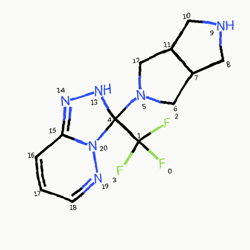 FC(F)(F)C1(N2CC3CNCC3C2)NN=C2C=CC=NN21